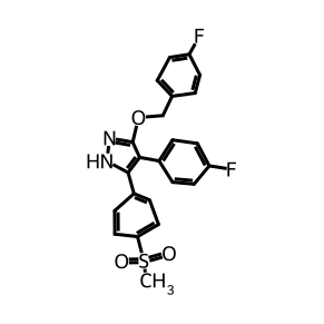 CS(=O)(=O)c1ccc(-c2[nH]nc(OCc3ccc(F)cc3)c2-c2ccc(F)cc2)cc1